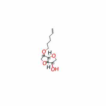 C=CCCCCO[C@@H]1CO[C@H]2[C@@H]1OC[C@H]2O